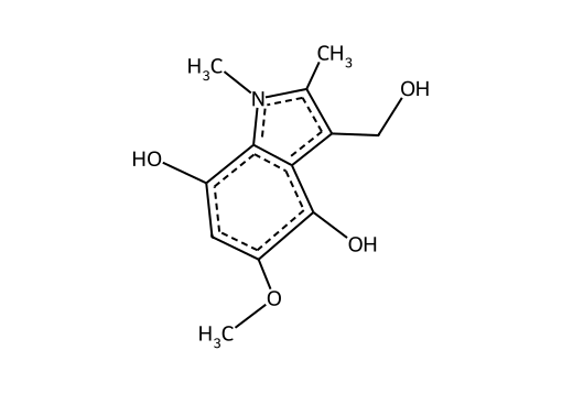 COc1cc(O)c2c(c1O)c(CO)c(C)n2C